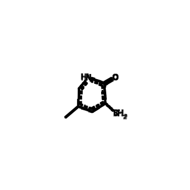 Bc1cc(C)c[nH]c1=O